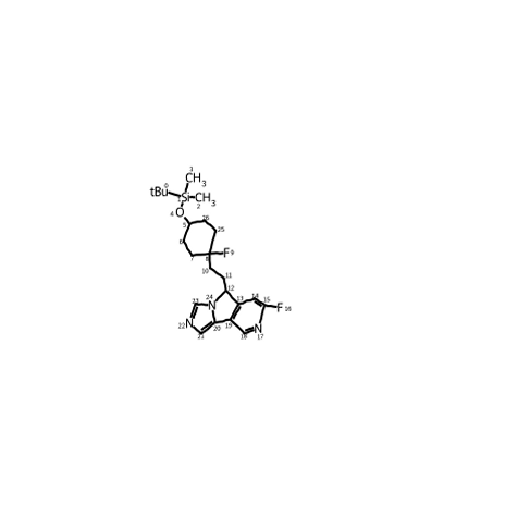 CC(C)(C)[Si](C)(C)OC1CCC(F)(CCC2c3cc(F)ncc3-c3cncn32)CC1